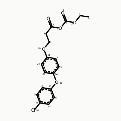 CCOC(=O)OC(=O)CCOc1ccc(Oc2ccc(Cl)cc2)cc1